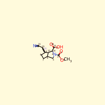 COC(=O)N1CC2CC/C(=C\C#N)C2C1C(=O)O